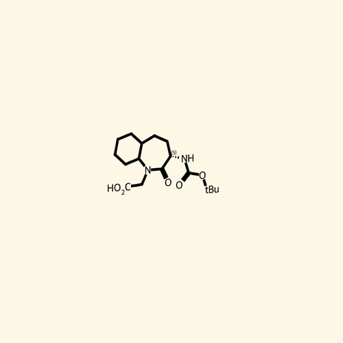 CC(C)(C)OC(=O)N[C@H]1CCC2CCCCC2N(CC(=O)O)C1=O